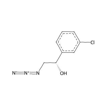 [N-]=[N+]=NC[C@@H](O)c1cccc(Cl)c1